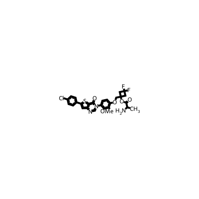 COc1cc(-n2cnc3cc(-c4ccc(Cl)cc4)sc3c2=O)ccc1OCC1(OC(=O)C(C)N)CC(F)(F)C1